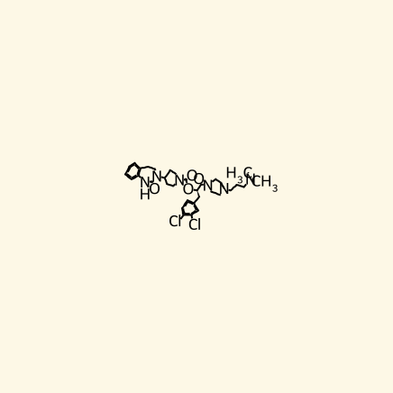 CN(C)CCCN1CCN(C(=O)[C@@H](Cc2ccc(Cl)c(Cl)c2)OC(=O)N2CCC(N3CCc4ccccc4NC3=O)CC2)CC1